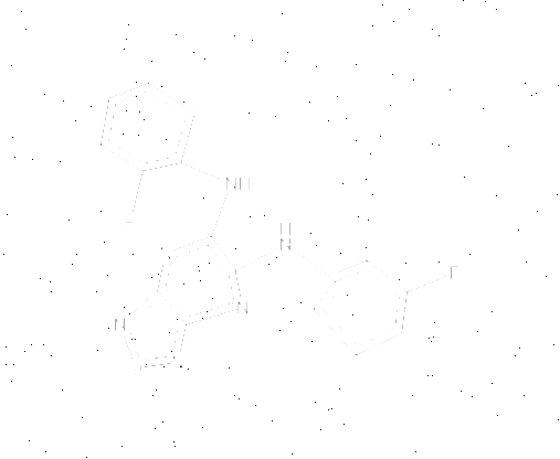 Fc1cccc(Nc2nc3nonc3nc2Nc2ccccc2F)c1